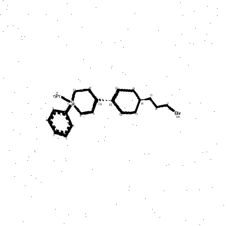 CCC[Si]1(c2ccccc2)CCC([C@H]2CC[C@H](CCCBr)CC2)CC1